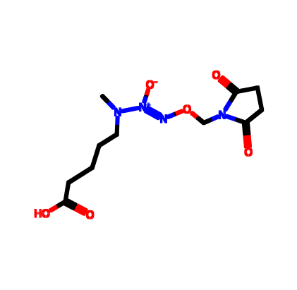 CN(CCCCC(=O)O)[N+]([O-])=NOCN1C(=O)CCC1=O